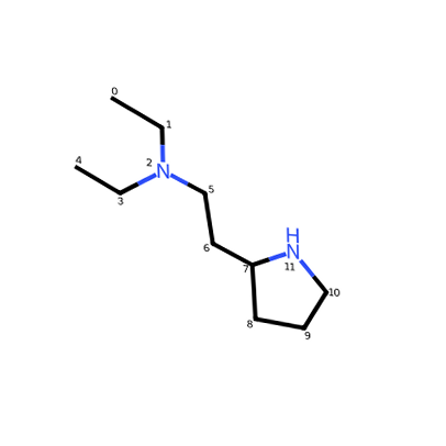 CCN(CC)CCC1CCCN1